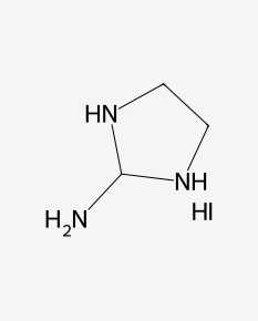 I.NC1NCCN1